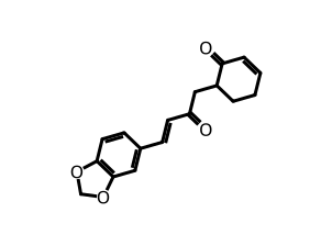 O=C(/C=C/c1ccc2c(c1)OCO2)CC1CCC=CC1=O